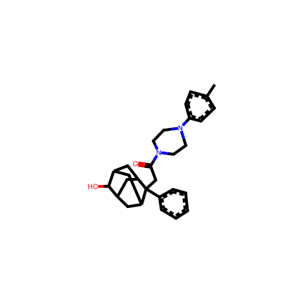 Cc1ccc(N2CCN(C(=O)CC3(c4ccccc4)C4CC5CC3CC(C4)C5O)CC2)cc1